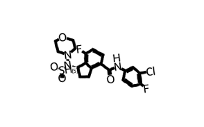 O=C(Nc1ccc(F)c(Cl)c1)c1ccc(F)c2c1CC[C@@H]2N(N1CCOCC1)[SH](=O)=O